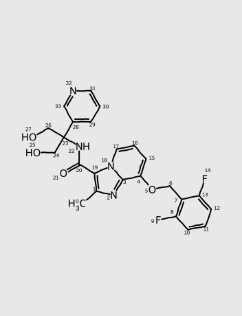 Cc1nc2c(OCc3c(F)cccc3F)cccn2c1C(=O)NC(CO)(CO)c1cccnc1